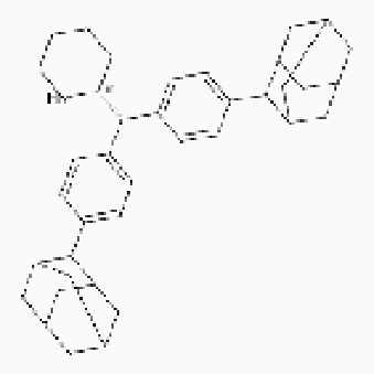 c1cc(C(c2ccc(C3C4CC5CC(C4)CC3C5)cc2)[C@H]2CCCCN2)ccc1C1C2CC3CC(C2)CC1C3